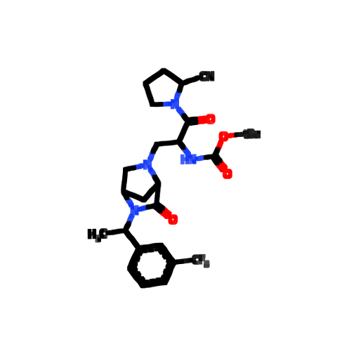 CC(c1cccc(C(F)(F)F)c1)N1C(=O)C2CC1CN2CC(NC(=O)OC(C)(C)C)C(=O)N1CCCC1C#N